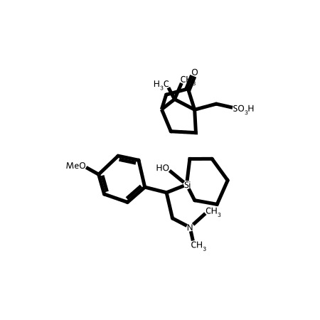 CC1(C)C2CCC1(CS(=O)(=O)O)C(=O)C2.COc1ccc(C(CN(C)C)[Si]2(O)CCCCC2)cc1